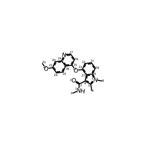 CNC(=O)c1c(C)n(C)c2cccc(Oc3ccnc4cc(OC)ccc34)c12